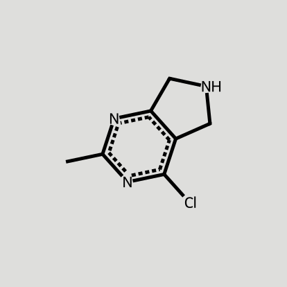 Cc1nc(Cl)c2c(n1)CNC2